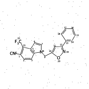 [C-]#[N+]c1ccc2c(ccn2Cc2cc(-c3ccccc3)no2)c1C(F)(F)F